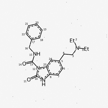 CCN(CC)CCc1ccc2[nH]c(=O)n(C(=O)NCc3ccccc3)c2c1